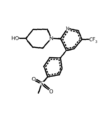 CS(=O)(=O)c1ccc(-c2cc(C(F)(F)F)cnc2N2CCC(O)CC2)cc1